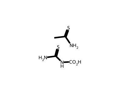 CC(N)=S.NC(=S)NC(=O)O